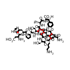 CC(C)[C@H](NC(=O)[C@H](C)NC(=O)[C@H](Cc1c[nH]cn1)NC(=O)[C@H](CCC(N)=O)NC(=O)[C@H](CCCCN)NC(=O)[C@H](CO)NC(=O)[C@H](CS)NC(=O)[C@H](CO)NC(=O)[C@@H]1CCCN1C(=O)[C@H](Cc1c[nH]cn1)NC(=O)[C@@H](N)CC(=O)O)C(=O)N[C@@H](Cc1ccccc1)C(=O)O